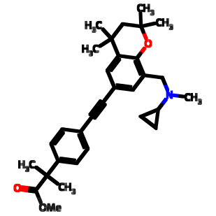 COC(=O)C(C)(C)c1ccc(C#Cc2cc(CN(C)C3CC3)c3c(c2)C(C)(C)CC(C)(C)O3)cc1